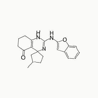 CC1CCC2(C1)N=C(Nc1cc3ccccc3o1)NC1=C2C(=O)CCC1